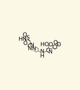 O=C1NC(=O)/C(=C\c2ccnc(N3CCC(CNCc4cnc(-c5ccc6c(c5)OCO6)c(C(=O)O)c4)CC3)n2)S1